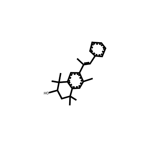 CC(=Cc1ccccc1)c1cc2c(cc1C)C(C)(C)CC(O)C2(C)C